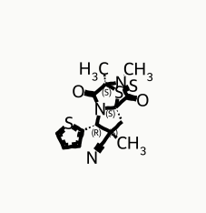 CN1C(=O)[C@@]23C[C@](C)(C#N)[C@H](c4cccs4)N2C(=O)[C@]1(C)S3=S